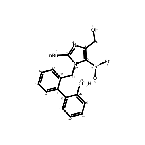 CCCCc1nc(CO)c([S+]([O-])CC)n1Cc1ccccc1-c1ccccc1C(=O)O